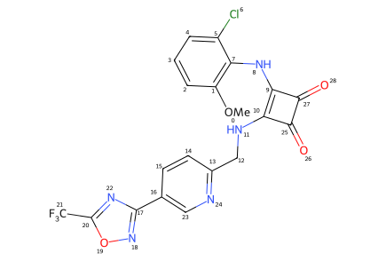 COc1cccc(Cl)c1Nc1c(NCc2ccc(-c3noc(C(F)(F)F)n3)cn2)c(=O)c1=O